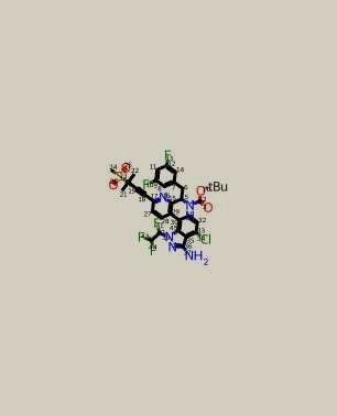 CC(C)(C)OC(=O)NC(Cc1cc(F)cc(F)c1)c1nc(C#CC(C)(C)S(C)(=O)=O)ccc1-c1ccc(Cl)c2c(N)nn(C(F)C(F)F)c12